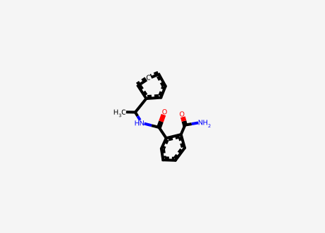 CC(NC(=O)c1ccccc1C(N)=O)c1ccccc1